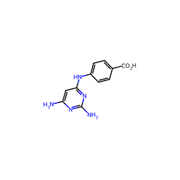 Nc1cc(Nc2ccc(C(=O)O)cc2)nc(N)n1